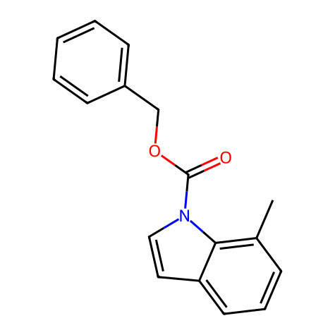 Cc1cccc2ccn(C(=O)OCc3ccccc3)c12